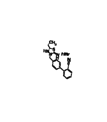 Br.CCC1NN(Cc2ccc(-c3ccccc3C#N)cc2)C(=N)S1